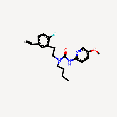 [C]=Cc1ccc(F)c(CCN(CCCC)C(=O)Nc2ccc(OC)cn2)c1